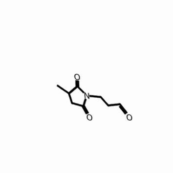 CC1CC(=O)N(CCC=O)C1=O